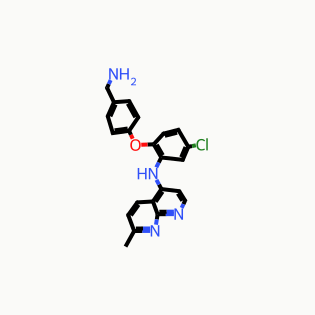 Cc1ccc2c(Nc3cc(Cl)ccc3Oc3ccc(CN)cc3)ccnc2n1